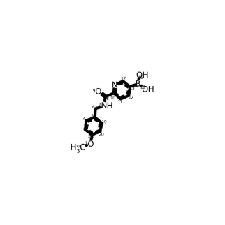 COc1ccc(CNC(=O)c2ccc(B(O)O)cn2)cc1